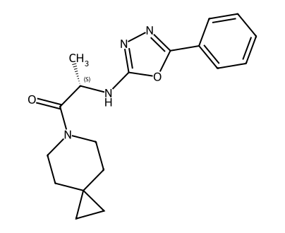 C[C@H](Nc1nnc(-c2ccccc2)o1)C(=O)N1CCC2(CC1)CC2